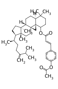 C=C(CC[C@@H](C)[C@H]1CC[C@@]2(C)[C@@H]3CC[C@H]4C(C)(C)CCC(OC(=O)/C=C/c5ccc(OC(C)=O)cc5)[C@@]45C[C@@]35CC[C@]12C)C(C)C